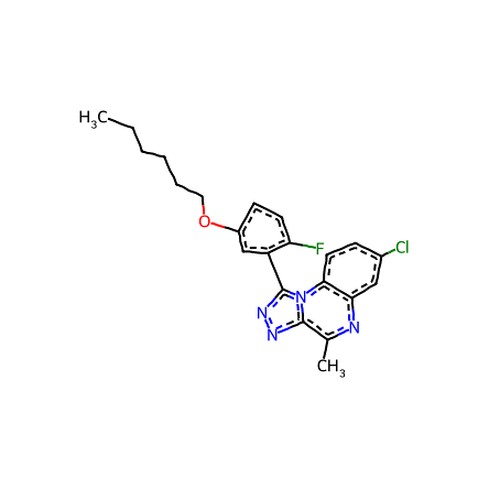 CCCCCCOc1ccc(F)c(-c2nnc3c(C)nc4cc(Cl)ccc4n23)c1